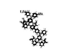 Cc1c(C)n2c3c(cccc13)B1c3c-2cc(N(c2ccccc2)c2ccc(-c4ccc5c6c4c(C)c(C)n6-c4cc(N(c6ccc(C(C)(C)C)cc6)c6ccc(C(C)(C)C)cc6)cc6c4B5c4cccc5c(C)c(C)n-6c45)cc2)cc3-n2c(C)c(C)c3cccc1c32